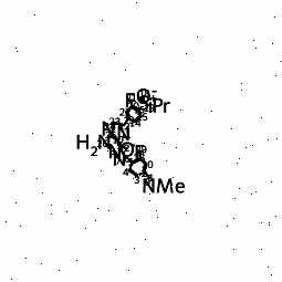 CNCc1ccc(-c2nnc(-c3nc(-c4ccc([S+]([O-])C(C)C)c(F)c4)cnc3N)o2)c(F)c1